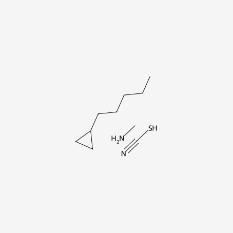 CCCCCC1CC1.CN.N#CS